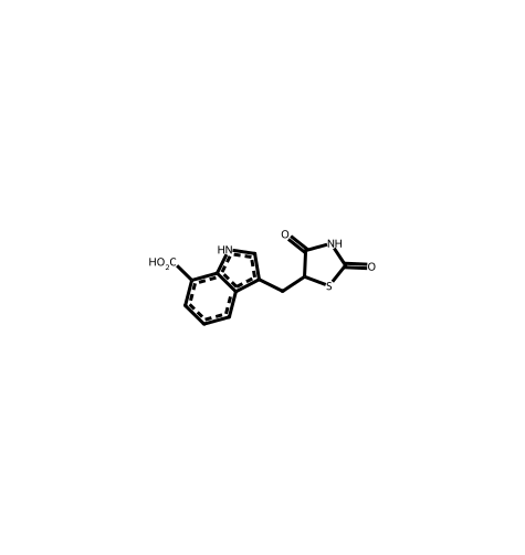 O=C1NC(=O)C(Cc2c[nH]c3c(C(=O)O)cccc23)S1